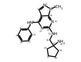 Cn1ncc2c(Nc3ccccc3)nc(NCC3(N)CCCC3)nc21